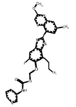 CCCc1c(OCOC(=O)Nc2cccnc2)c(F)cc2nc(-c3cc(C)cc4nc(OC)cnc34)sc12